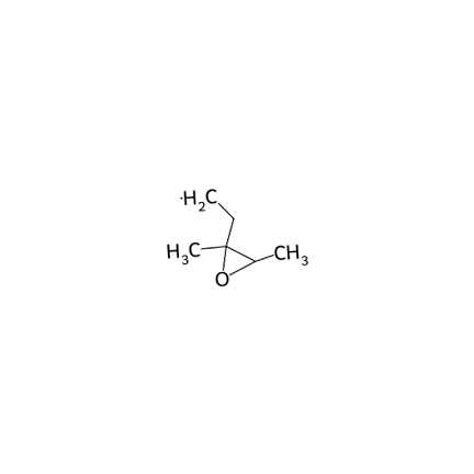 [CH2]CC1(C)OC1C